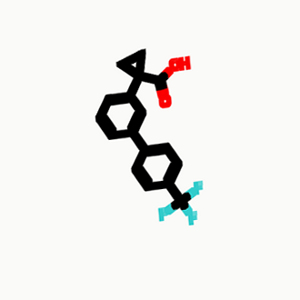 O=C(O)C1(c2cccc(-c3ccc(C(F)(F)F)cc3)c2)CC1